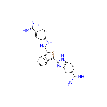 N=C(N)c1ccc2[nH]c(-c3sc(-c4nc5cc(C(=N)N)ccc5[nH]4)c4c3C3C=CC4CC3)nc2c1